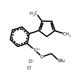 CC1=CC(C)=C(c2cccc[c]2[Ti+2][O]CC(C)(C)C)C1.[Cl-].[Cl-]